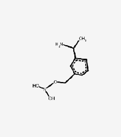 CC(N)c1cccc(CON(O)O)c1